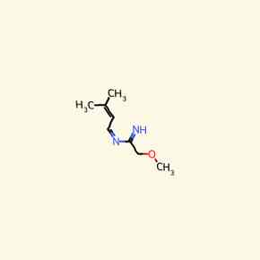 COCC(=N)/N=C\C=C(C)C